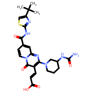 CC(C)(C)c1csc(NC(=O)c2ccn3c(=O)c(C=CC(=O)O)c(N4CCCC(NC(N)=O)C4)nc3c2)n1